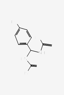 Cc1ccc(C(NC(=S)S)NC(=S)S)cc1